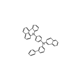 c1ccc(-c2cccc(N(c3ccc(N4c5ccccc5-c5cccc6cccc4c56)cc3)c3ccc4ccccc4c3)c2)cc1